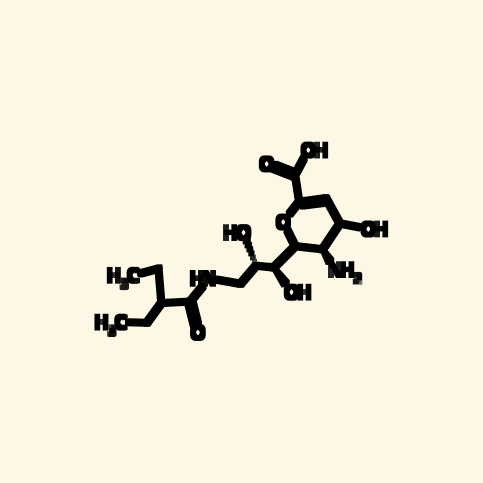 CCC(CC)C(=O)NC[C@H](O)[C@H](O)C1OC(C(=O)O)=CC(O)[C@H]1N